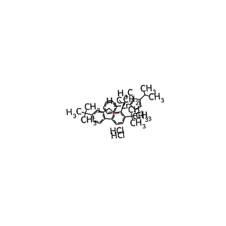 Cl.Cl.[CH2]=[Zr]([CH3])([C]1=C(C)C(C(C)C)=CC1C)([c]1ccccc1)[c]1c(C(C)(C)C)ccc2c1Cc1cc(C(C)(C)C)ccc1-2